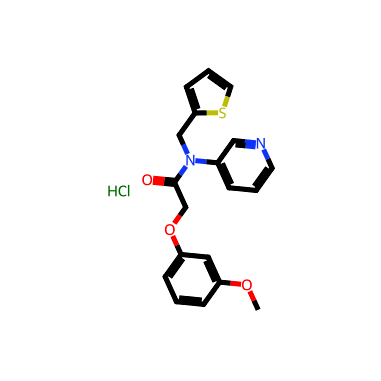 COc1cccc(OCC(=O)N(Cc2cccs2)c2cccnc2)c1.Cl